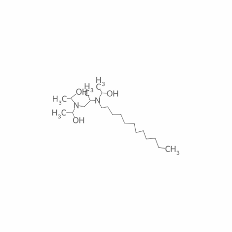 CCCCCCCCCCCCN(C(C)O)C(C)CN(C(C)O)C(C)O